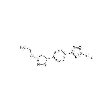 FC(F)(F)COC1=NOC(c2ccc(-c3noc(C(F)(F)F)n3)cc2)C1